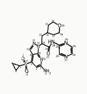 Nc1cc(S(=O)(=O)C2CC2)c2cnn(C(CC3CCOCC3)C(=O)Nc3cnccn3)c2n1